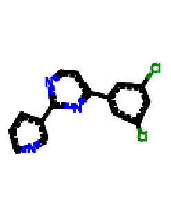 Clc1cc(Cl)cc(-c2ccnc(-c3cccnc3)n2)c1